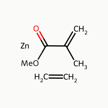 C=C.C=C(C)C(=O)OC.[Zn]